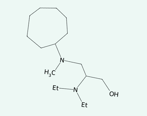 CCN(CC)C(CO)CN(C)C1CCCCCCC1